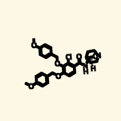 COc1ccc(COc2ccc(C(=O)N[C@@H]3CN4CCC3CC4)c(Cl)c2OCc2ccc(OC)cc2)cc1